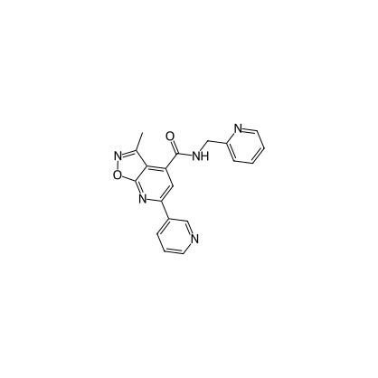 Cc1noc2nc(-c3cccnc3)cc(C(=O)NCc3ccccn3)c12